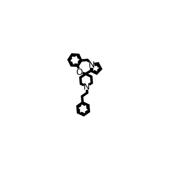 c1ccc(CCN2CCC3(CC2)Oc2ccccc2Cn2cccc23)cc1